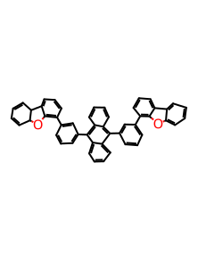 C1=CC2Oc3c(-c4cccc(-c5c6ccccc6c(-c6cccc(-c7cccc8c7oc7ccccc78)c6)c6ccccc56)c4)cccc3C2C=C1